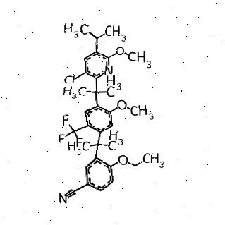 CCOc1ccc(C#N)cc1C(C)(C)c1cc(OC)c(C(C)(C)c2nc(OC)c(C(C)C)cc2Cl)cc1C(F)(F)F